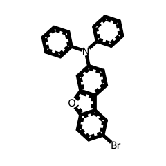 Brc1ccc2oc3cc(N(c4ccccc4)c4ccccc4)ccc3c2c1